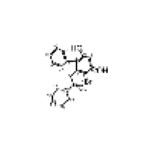 O=C(Cc1c(Br)c(O)cc(O)c1-c1ccccc1)N1CCOCC1